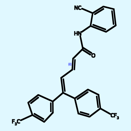 N#Cc1ccccc1NC(=O)/C=C/C=C(c1ccc(C(F)(F)F)cc1)c1ccc(C(F)(F)F)cc1